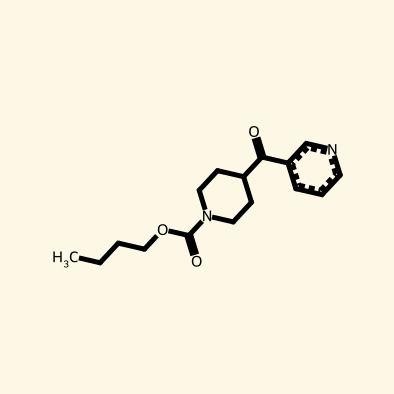 CCCCOC(=O)N1CCC(C(=O)c2cccnc2)CC1